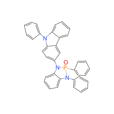 O=P1(c2ccccc2)N(c2ccccc2)c2ccccc2N1c1ccc2c(c1)c1ccccc1n2-c1ccccc1